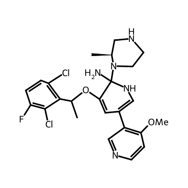 COc1ccncc1C1=CNC(N)(N2CCNC[C@@H]2C)C(OC(C)c2c(Cl)ccc(F)c2Cl)=C1